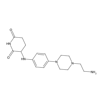 NCCN1CCN(c2ccc(NC3CCC(=O)NC3=O)cc2)CC1